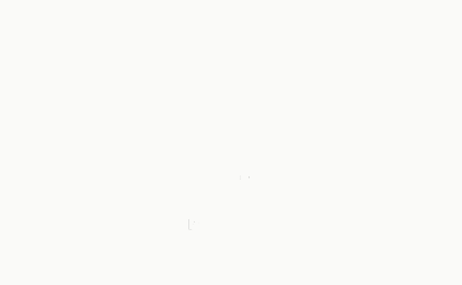 CC(C)(C)c1ccc(OCCBr)cc1